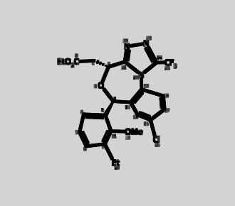 CCOC(=O)C[C@H]1O[C@H](c2cccc(CC)c2OC)c2cc(Cl)ccc2-n2c1nnc2C(F)(F)F